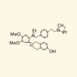 CCN(Cc1ccc(CCN(C)C(C)C)cc1)c1cc(OC)c(OC)cc1[C@@H]1CCc2cc(O)ccc2C1